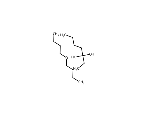 CCCCC(O)(O)CC.CCCCOCCCC